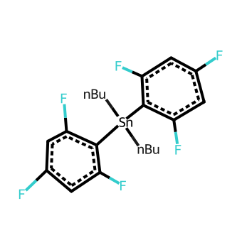 CCC[CH2][Sn]([CH2]CCC)([c]1c(F)cc(F)cc1F)[c]1c(F)cc(F)cc1F